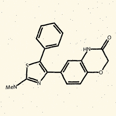 CNc1nc(-c2ccc3c(c2)NC(=O)CO3)c(-c2ccccc2)s1